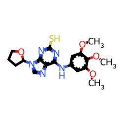 COc1cc(Nc2nc(S)nc3c2ncn3C2CCCO2)cc(OC)c1OC